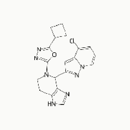 Clc1cccn2nc(C3c4nc[nH]c4CCN3c3nnc(C4CCC4)o3)cc12